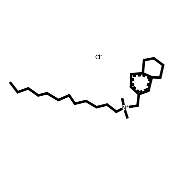 CCCCCCCCCCCC[N+](C)(C)Cc1ccc2c(c1)CCCC2.[Cl-]